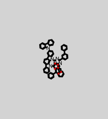 c1ccc(-c2cccc(-c3nc(-c4cccc(-c5ccccc5)c4)nc(-n4c5ccc(-n6c7ccccc7c7ccccc76)cc5c5ccc6c7ccccc7n(-c7cccc(-c8ccccc8)c7)c6c54)n3)c2)cc1